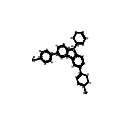 BrC1=CC=C(c2ccc3c(c2)c2cc(-c4ccc(Br)cc4)ccc2n3C2=CC=CCC2)CC1